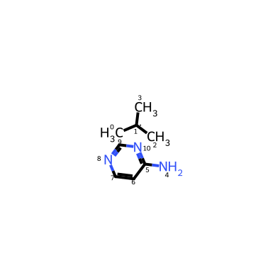 C[C](C)C.Nc1ccncn1